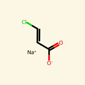 O=C([O-])/C=C/Cl.[Na+]